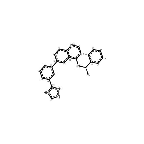 C[C@@H](Nc1ncnc2ccc(-c3cccc(-c4nnc[nH]4)c3)cc12)c1ccccc1